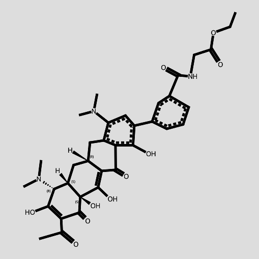 CCOC(=O)CNC(=O)c1cccc(-c2cc(N(C)C)c3c(c2O)C(=O)C2=C(O)[C@]4(O)C(=O)C(C(C)=O)=C(O)[C@H](N(C)C)[C@@H]4C[C@@H]2C3)c1